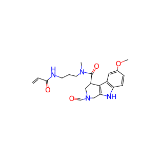 C=CC(=O)NCCCN(C)C(=O)C1CN(C=O)Cc2[nH]c3ccc(OC)cc3c21